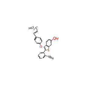 CC(C)(C)c1ccccc1-c1sc2cc(O)ccc2c1Oc1ccc(C=CC(=O)O)cc1